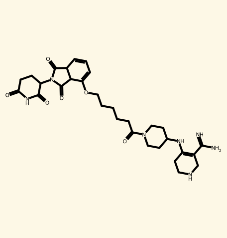 N=C(N)C1=C(NC2CCN(C(=O)CCCCCOC3=CC=CC4C(=O)N(C5CCC(=O)NC5=O)C(=O)C34)CC2)CCNC1